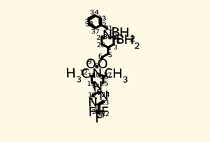 BC1(B)CC(CCOC(=O)N2[C@H](C)CN(c3cnc(C(F)(F)F)cn3)C[C@H]2C)CCN1Cc1ccccc1